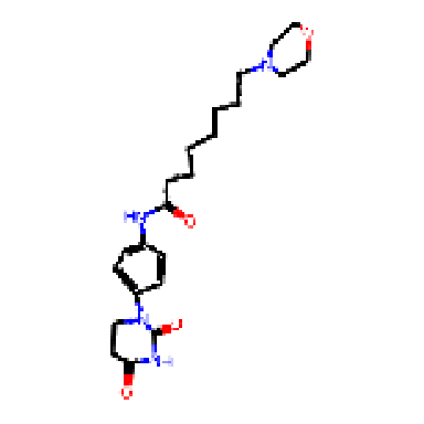 O=C1CCN(c2ccc(NC(=O)CCCCCCCN3CCOCC3)cc2)C(=O)N1